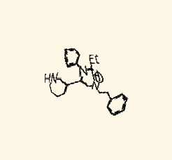 CCC(=O)N(c1ccccc1)C(CNCCc1ccccc1)C1CCCCNC1